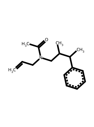 C=CCN(CC(C)C(C)c1ccccc1)C(C)=O